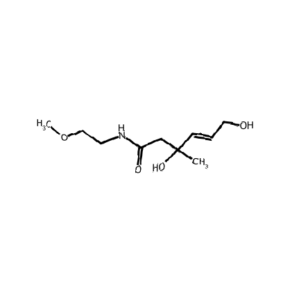 COCCNC(=O)CC(C)(O)/C=C/CO